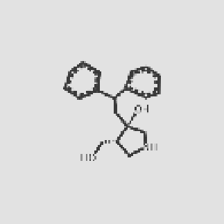 OC[C@H]1CNC[C@@]1(O)CC(c1ccccc1)c1ccccc1